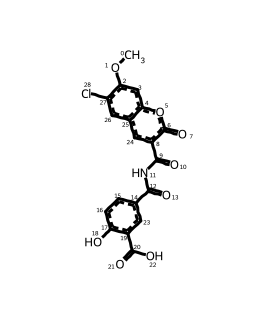 COc1cc2oc(=O)c(C(=O)NC(=O)c3ccc(O)c(C(=O)O)c3)cc2cc1Cl